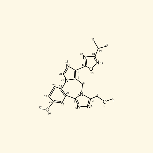 COCc1nnc2n1Cc1c(-c3nc(C(C)C)no3)ncn1-c1ccc(OC)cc1-2